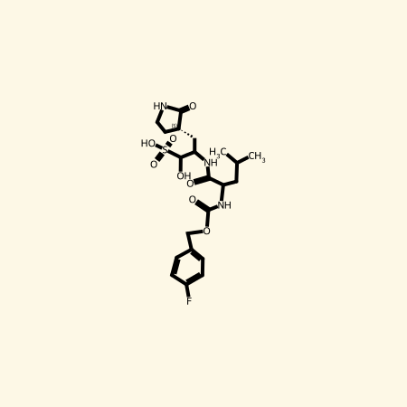 CC(C)CC(NC(=O)OCc1ccc(F)cc1)C(=O)NC(C[C@@H]1CCNC1=O)C(O)S(=O)(=O)O